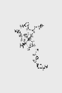 CC(C)CC=C(O)[C@@H]1[C@@H]2C[C@H](CCOCC(=O)O)C[C@@H]2C[C@H]1O